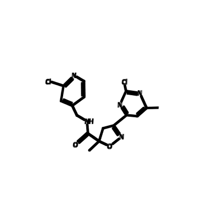 Cc1cc(C2=NOC(C)(C(=O)NCc3ccnc(Cl)c3)C2)nc(Cl)n1